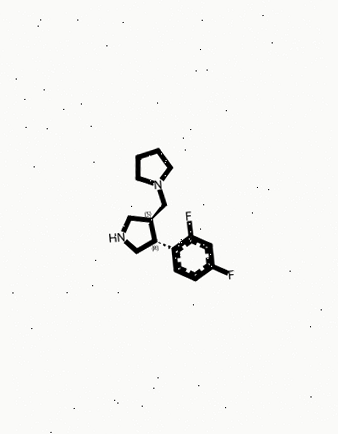 Fc1ccc([C@@H]2CNC[C@H]2CN2CCCC2)c(F)c1